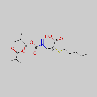 CCCCCS[C@@H](CNC(=O)O[C@H](OC(=O)C(C)C)C(C)C)C(=O)O